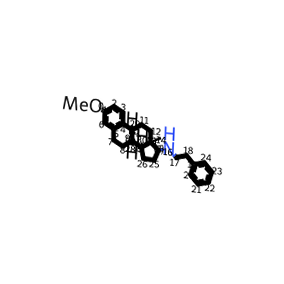 COc1ccc2c(c1)CC[C@@H]1[C@@H]2CC[C@]2(C)[C@@H](NCCc3ccccc3)CC[C@@H]12